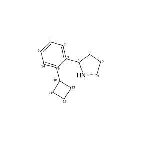 c1ccc(C2CCCN2)c(C2CCC2)c1